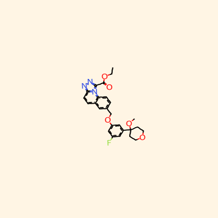 CCOC(=O)c1nnc2ccc3cc(COc4cc(F)cc(C5(OC)CCOCC5)c4)ccc3n12